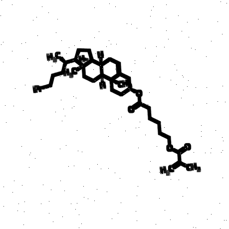 C=C(C)C(=O)OCCCCCC(=O)O[C@H]1CC[C@@]2(C)C(=CC[C@H]3[C@@H]4CC[C@H]([C@H](C)CCCC(C)C)[C@@]4(C)CC[C@@H]32)C1